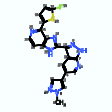 Cn1cc(-c2cnc3[nH]nc(-c4nc5c(-c6ccc(F)s6)nccc5[nH]4)c3c2)cn1